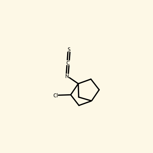 S=C=NC12CCC(CC1Cl)C2